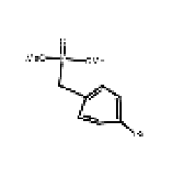 CCC(C)c1ccc(CP(=O)(OC)OC)cc1